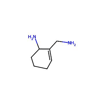 NCC1=CCCCC1N